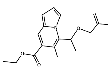 C=C(C)COC(C)c1c(C)c(C(=O)OCC)cc2cccn12